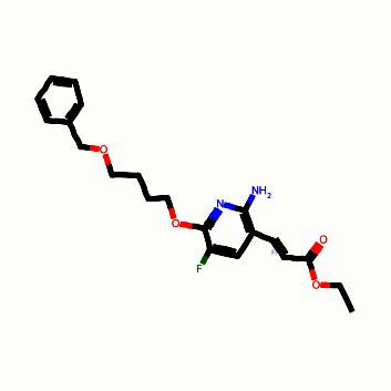 CCOC(=O)/C=C/c1cc(F)c(OCCCCOCc2ccccc2)nc1N